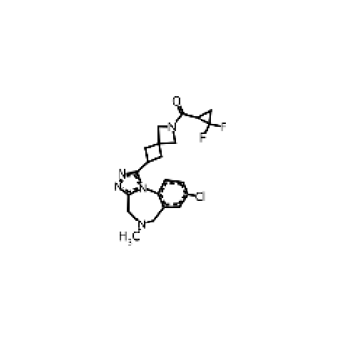 CN1Cc2cc(Cl)ccc2-n2c(nnc2C2CC3(C2)CN(C(=O)C2CC2(F)F)C3)C1